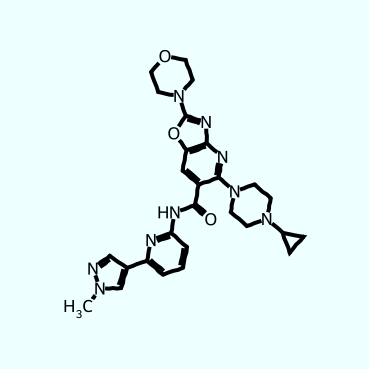 Cn1cc(-c2cccc(NC(=O)c3cc4oc(N5CCOCC5)nc4nc3N3CCN(C4CC4)CC3)n2)cn1